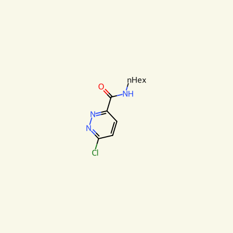 CCCCCCNC(=O)c1ccc(Cl)nn1